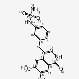 Cc1cc2c(Cc3cccc(NS(N)(=O)=O)c3)n[nH]c(=O)c2cc1C